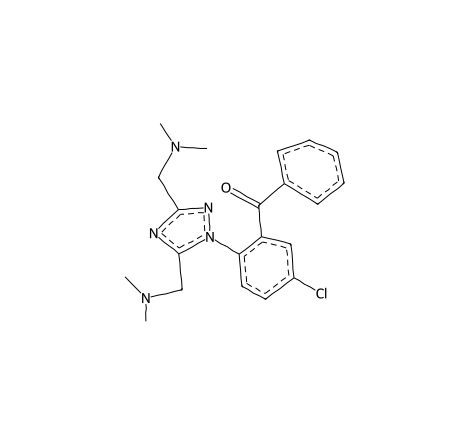 CN(C)Cc1nc(CN(C)C)n(-c2ccc(Cl)cc2C(=O)c2ccccc2)n1